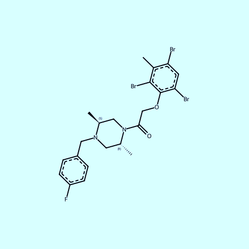 Cc1c(Br)cc(Br)c(OCC(=O)N2C[C@H](C)N(Cc3ccc(F)cc3)C[C@H]2C)c1Br